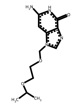 CC(C)OCCOCn1cnc2c(=O)[nH]c(N)cc21